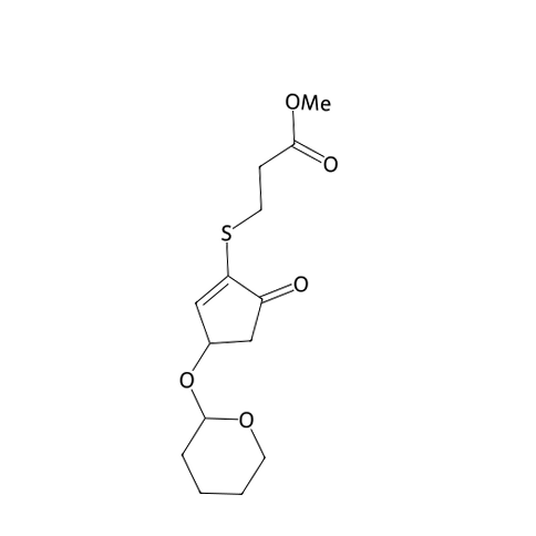 COC(=O)CCSC1=CC(OC2CCCCO2)CC1=O